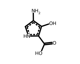 Nc1c[nH]c(C(=O)O)c1O